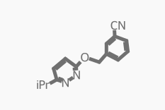 CC(C)c1ccc(OCc2cccc(C#N)c2)nn1